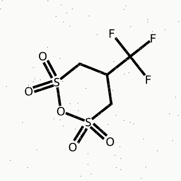 O=S1(=O)CC(C(F)(F)F)CS(=O)(=O)O1